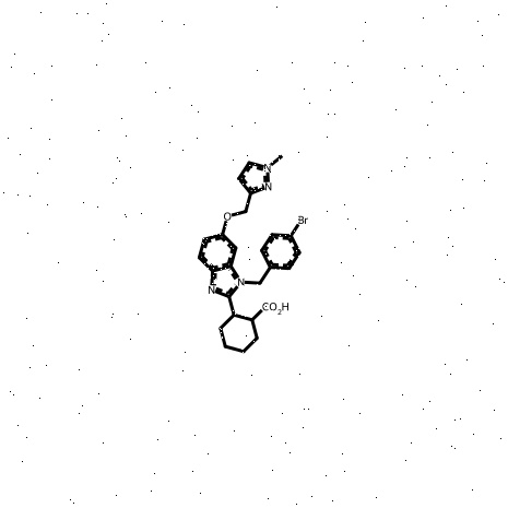 Cn1ccc(COc2ccc3nc(C4CCCCC4C(=O)O)n(Cc4ccc(Br)cc4)c3c2)n1